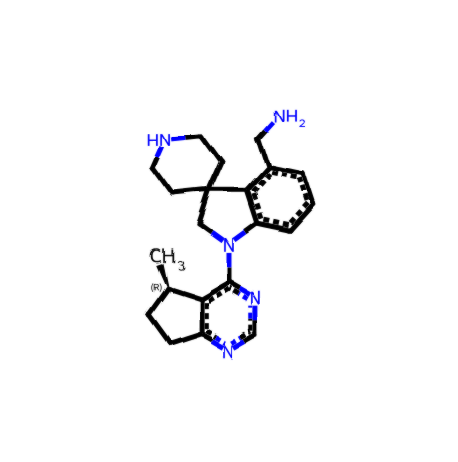 C[C@@H]1CCc2ncnc(N3CC4(CCNCC4)c4c(CN)cccc43)c21